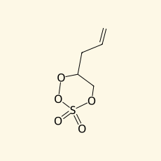 C=CCC1COS(=O)(=O)OO1